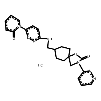 Cl.O=C1OC2(CCC(CNc3ccc(-n4ccccc4=O)nn3)CC2)CN1c1cccnn1